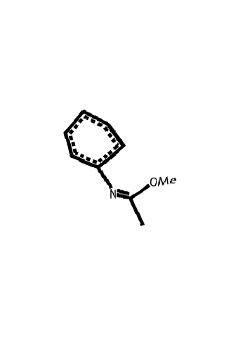 CO/C(C)=N\c1ccccc1